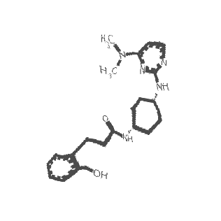 CN(C)c1ccnc(N[C@H]2CC[C@@H](NC(=O)CCc3ccccc3O)CC2)n1